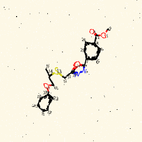 COC(=O)c1ccc(-c2nnc(CSC(C)COc3ccccc3)o2)cc1